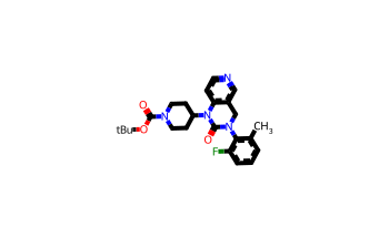 Cc1cccc(F)c1N1Cc2cnccc2N(C2CCN(C(=O)OC(C)(C)C)CC2)C1=O